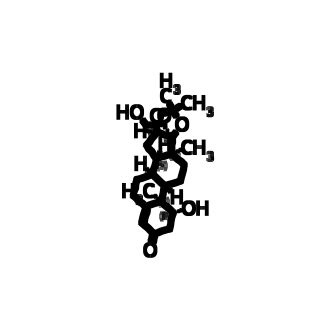 CC1(C)O[C@@H]2C[C@H]3[C@@H]4CCC5=CC(=O)C[C@@H](O)[C@]5(C)[C@H]4CC[C@]3(C)[C@]2(C(=O)CO)O1